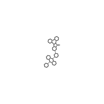 c1ccc(-c2c3ccccc3c(-c3cccc(-c4ccc5c(c4)[nH]c4c6ccccc6c6ccccc6c54)c3)c3ccccc23)cc1